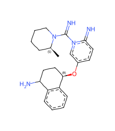 C[C@H]1CCCCN1C(=N)n1cc(O[C@@H]2CCC(N)c3ccccc32)ccc1=N